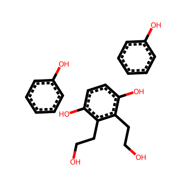 OCCc1c(O)ccc(O)c1CCO.Oc1ccccc1.Oc1ccccc1